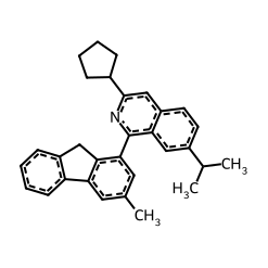 Cc1cc2c(c(-c3nc(C4CCCC4)cc4ccc(C(C)C)cc34)c1)Cc1ccccc1-2